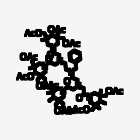 CC(=O)OCC1(C)CN(C(=O)CN(CCN(CCN(CC(=O)N2CC(C)(COC(C)=O)C(OC(C)=O)C(C)(COC(C)=O)C2)CC(=O)N2CC(C)(COC(C)=O)C(OC(C)=O)C(COC(C)=O)(COC(C)=O)C2)Cc2ccccc2)CC(=O)N2CC(C)(C)C(C)C(COC(C)=O)(COC(C)=O)C2)CC(C)(COC(C)=O)C1C